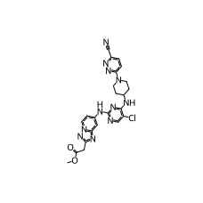 COC(=O)Cc1nc2cc(Nc3ncc(Cl)c(NC4CCN(c5ccc(C#N)nn5)CC4)n3)ccn2n1